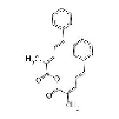 CC(=CC=Cc1ccccc1)C(=O)OC(=O)C(C)=CC=Cc1ccccc1